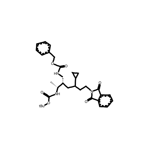 C[C@@H](NC(=O)OC(C)(C)C)[C@H](CNC(=O)OCc1ccccc1)CC(CCN1C(=O)c2ccccc2C1=O)C1CC1